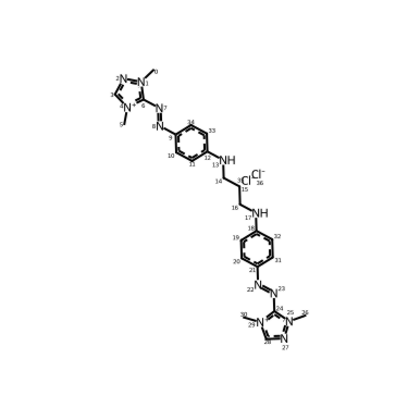 Cn1nc[n+](C)c1/N=N/c1ccc(NCCCNc2ccc(/N=N/c3n(C)nc[n+]3C)cc2)cc1.[Cl-].[Cl-]